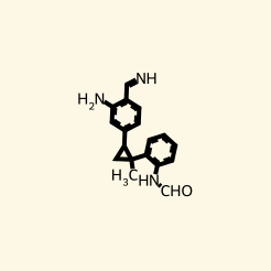 CC1(c2ccccc2NC=O)CC1c1ccc(C=N)c(N)c1